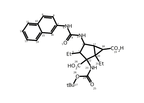 CCC1C(NC(=O)Nc2ccc3ccccc3c2)C2C(C(=O)O)C2(CC)C1(NC(=O)OC(C)(C)C)C(=O)O